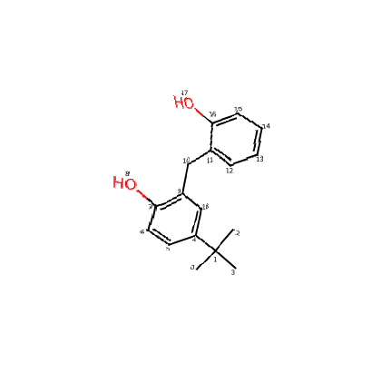 CC(C)(C)c1ccc(O)c(Cc2ccccc2O)c1